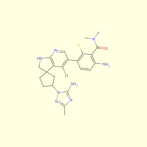 Cc1nc(N)n(C2CCC3(CNc4ncc(-c5ccc(N)c(C(=O)N(C)C)c5F)c(Cl)c43)C2)n1